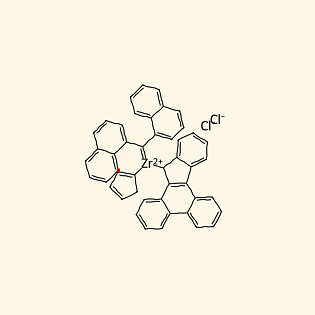 C1=CC[C]([Zr+2](=[C](c2cccc3ccccc23)c2cccc3ccccc23)[CH]2c3ccccc3-c3c2c2ccccc2c2ccccc32)=C1.[Cl-].[Cl-]